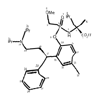 COCP(=O)(N[C@](C)(C(=O)O)C(C)C)Oc1ccc(C)cc1[C@H](CCN(C(C)C)C(C)C)c1ccccc1